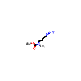 CN(CCCCN=[N+]=[N-])C(=O)OC(C)(C)C